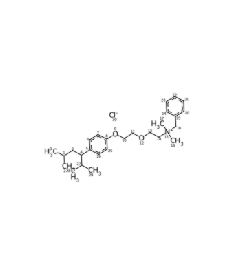 CC(C)CC(c1ccc(OCCOCC[N+](C)(C)Cc2ccccc2)cc1)C(C)C.[Cl-]